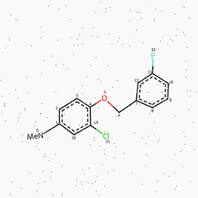 CNc1ccc(OCc2cccc(F)c2)c(Cl)c1